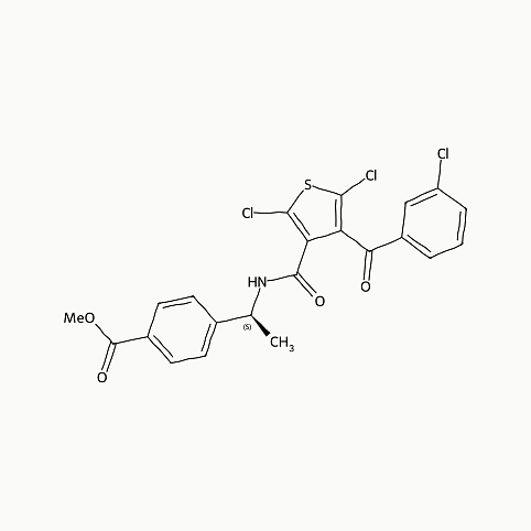 COC(=O)c1ccc([C@H](C)NC(=O)c2c(Cl)sc(Cl)c2C(=O)c2cccc(Cl)c2)cc1